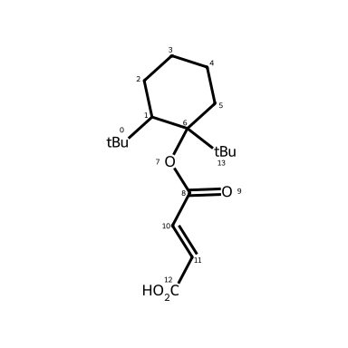 CC(C)(C)C1CCCCC1(OC(=O)/C=C/C(=O)O)C(C)(C)C